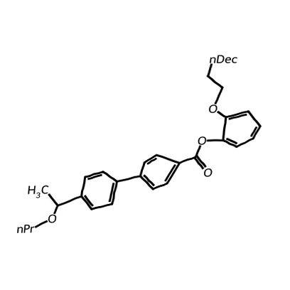 CCCCCCCCCCCCOc1ccccc1OC(=O)c1ccc(-c2ccc(C(C)OCCC)cc2)cc1